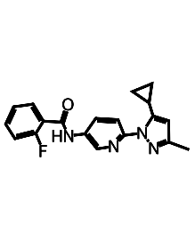 Cc1cc(C2CC2)n(-c2ccc(NC(=O)c3ccccc3F)cn2)n1